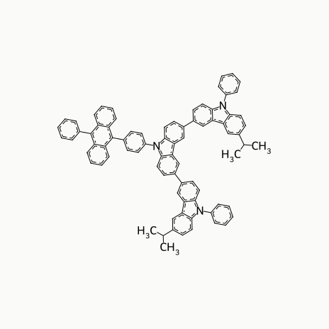 CC(C)c1ccc2c(c1)c1cc(-c3ccc4c(c3)c3cc(-c5ccc6c(c5)c5cc(C(C)C)ccc5n6-c5ccccc5)ccc3n4-c3ccc(-c4c5ccccc5c(-c5ccccc5)c5ccccc45)cc3)ccc1n2-c1ccccc1